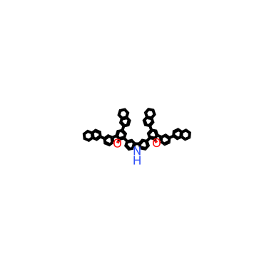 c1cc2c(cc1-c1ccc3oc4c(-c5ccc6[nH]c7ccc(-c8cc(-c9ccc%10c(c9)CCCC%10)cc9c8oc8ccc(-c%10ccc%11c(c%10)CCCC%11)cc89)cc7c6c5)cc(-c5ccc6c(c5)CCCC6)cc4c3c1)CCCC2